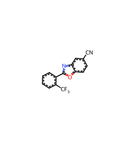 N#Cc1ccc2oc(-c3ccccc3C(F)(F)F)nc2c1